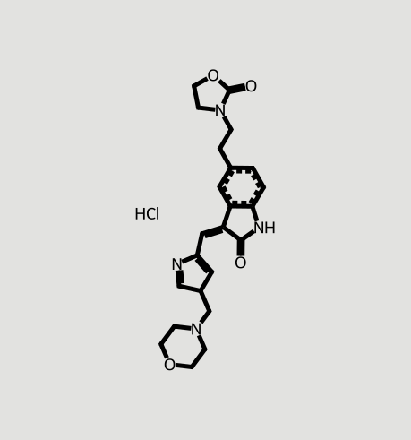 Cl.O=C1Nc2ccc(CCN3CCOC3=O)cc2C1=CC1=CC(CN2CCOCC2)C=N1